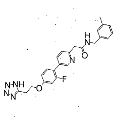 Cc1cccc(CNC(=O)Cc2ccc(-c3ccc(OCCc4nnn[nH]4)cc3F)cn2)c1